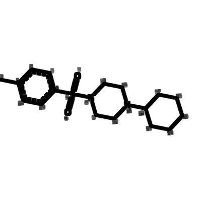 Cc1ccc(S(=O)(=O)N2CCN(C3CCCCC3)CC2)cc1